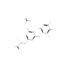 CC(=O)O.N[C@@H](Cc1cc(I)c(Oc2cc(I)c(O)c(I)c2)c(I)c1)C(=O)O